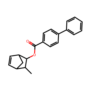 CC1C2C=CC(C2)C1OC(=O)c1ccc(-c2ccccc2)cc1